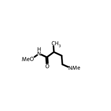 CNCCC(C)C(=O)NOC